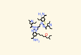 C=C(/N=c1\sc2cc(C(=C)N)cc(CC)c2n1C/C=C/Cn1c(NC(=C)C2=C(CC)N=C(C)C2)nc2cc(C(=C)N)cc(CCCCC(=O)CC(C)CC)c21)C1=C(CC)N=C(C)C1